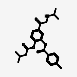 Cc1ccc(C(=O)Oc2cc(C(=O)CNC(C)C)ccc2OC(=O)CC(C)C)cc1